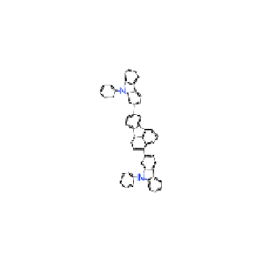 c1ccc(-n2c3ccccc3c3ccc(-c4ccc5c(c4)-c4cccc6c(-c7ccc8c9ccccc9n(-c9ccccc9)c8c7)ccc-5c46)cc32)cc1